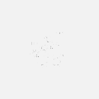 COc1ccccc1C(CN1C(=O)C2(CC(CO)C2)C(=O)c2c1sc(-c1ncco1)c2C)OC1CCOCC1